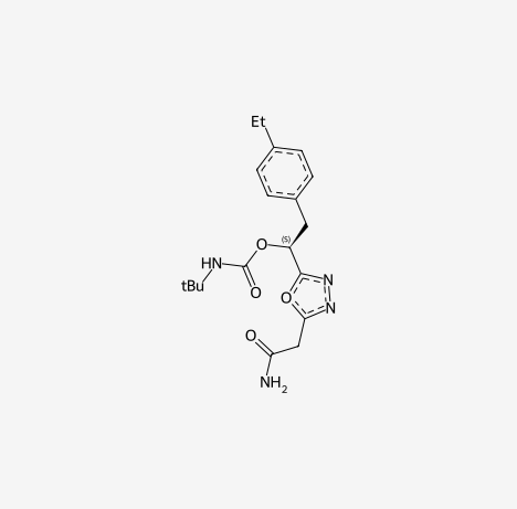 CCc1ccc(C[C@H](OC(=O)NC(C)(C)C)c2nnc(CC(N)=O)o2)cc1